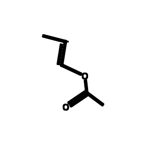 C/[C]=C/OC(C)=O